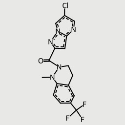 CN1c2ccc(C(F)(F)F)cc2CCN1C(=O)c1cc2ncc(Cl)cn2n1